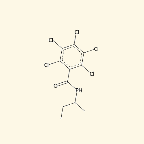 CCC(C)PC(=O)c1c(Cl)c(Cl)c(Cl)c(Cl)c1Cl